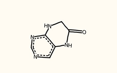 O=C1CNc2ncncc2N1